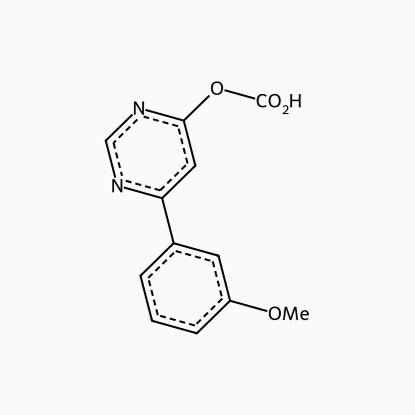 COc1cccc(-c2cc(OC(=O)O)ncn2)c1